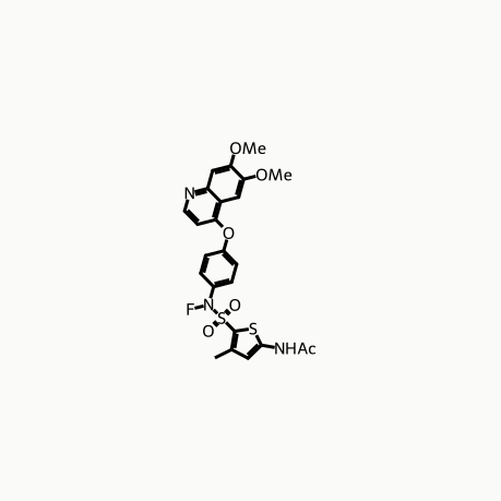 COc1cc2nccc(Oc3ccc(N(F)S(=O)(=O)c4sc(NC(C)=O)cc4C)cc3)c2cc1OC